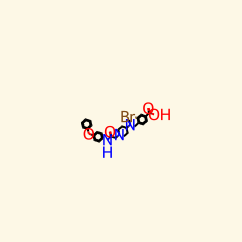 CN(Cc1ccc(C(=O)O)cc1Br)C1CCN(CC(=O)Nc2ccc(Oc3ccccc3)cc2)CC1